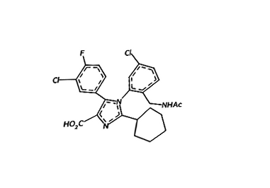 CC(=O)NCc1ccc(Cl)cc1-n1c(C2CCCCC2)nc(C(=O)O)c1-c1ccc(F)c(Cl)c1